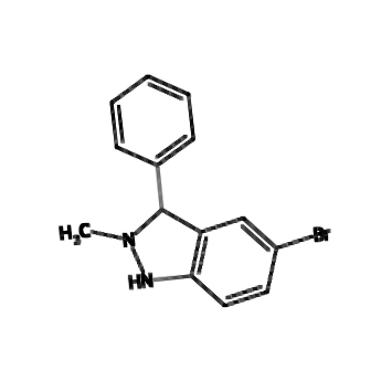 CN1Nc2ccc(Br)cc2C1c1ccccc1